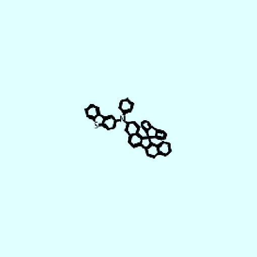 c1ccc(N(c2ccc3c4c(ccc3c2)-c2ccc3ccccc3c2C42c3ccccc3-c3ccccc32)c2ccc3sc4ccccc4c3c2)cc1